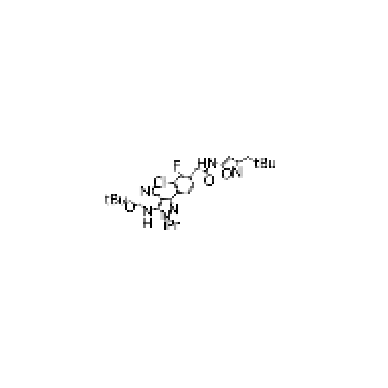 CC(C)n1nc(-c2ccc(CC(=O)Nc3cc(CC(C)(C)C)no3)c(F)c2Cl)c(C#N)c1NCOC(C)(C)C